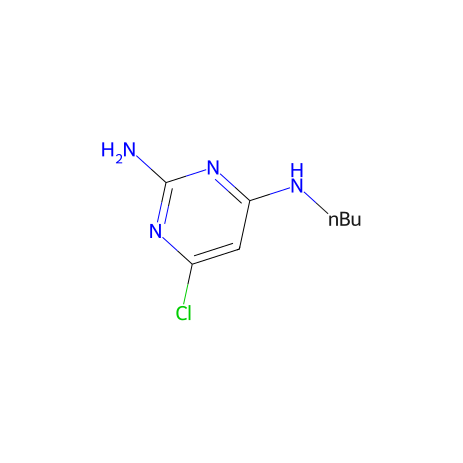 CCCCNc1cc(Cl)nc(N)n1